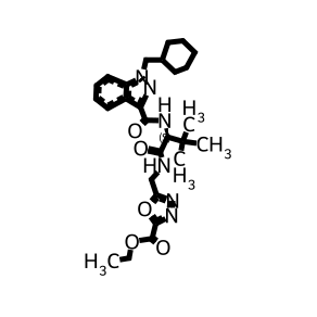 CCOC(=O)c1nnc(CNC(=O)[C@@H](NC(=O)c2nn(CC3CCCCC3)c3ccccc23)C(C)(C)C)o1